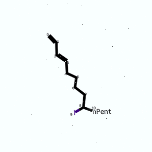 C=CC=CCCCCC(I)CCCCC